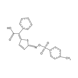 Cc1ccc(S(=O)(=O)ON=C2C=CC(=C(C(=O)O)c3ccccc3)S2)cc1